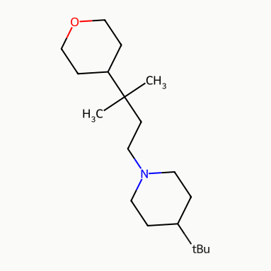 CC(C)(C)C1CCN(CCC(C)(C)C2CCOCC2)CC1